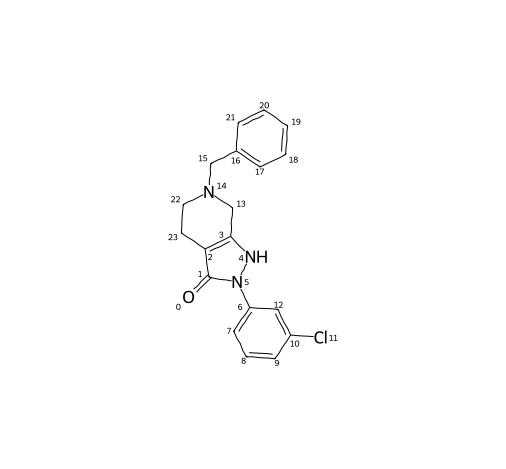 O=c1c2c([nH]n1-c1cccc(Cl)c1)CN(Cc1ccccc1)CC2